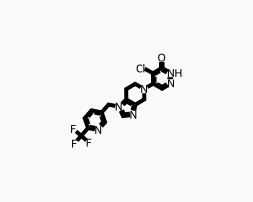 O=c1[nH]ncc(N2CCc3c(ncn3Cc3ccc(C(F)(F)F)nc3)C2)c1Cl